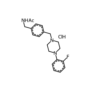 CC(=O)NCc1ccc(CN2CCN(c3ccccc3F)CC2)cc1.Cl